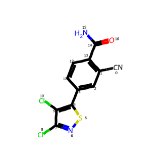 N#Cc1cc(-c2snc(Cl)c2Cl)ccc1C(N)=O